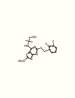 COc1nc2nc(SCc3cccc(F)c3F)nc(NC(C)(C)CO)c2s1